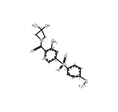 CC1(O)CN(C(=O)c2ncc(S(=O)(=O)c3ccc(OC(F)(F)F)cc3)cc2N)C1